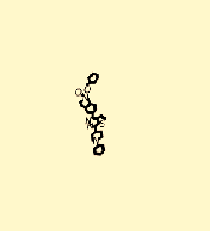 O=C(OCc1ccccc1)N1CCc2cc(-c3nnc(C4CCN(c5ccccc5)CC4)c4sccc34)ccc2C1